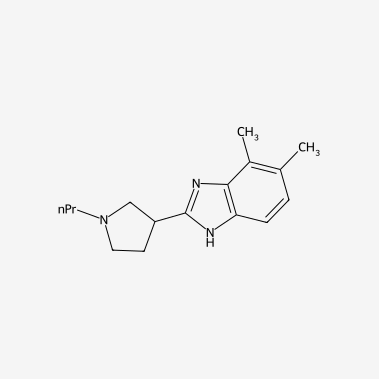 CCCN1CCC(c2nc3c(C)c(C)ccc3[nH]2)C1